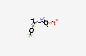 Cc1cc2c(CCc3sc(-c4ccc(C(F)(F)F)cc4)nc3C(C)C)noc2cc1OCC(=O)O